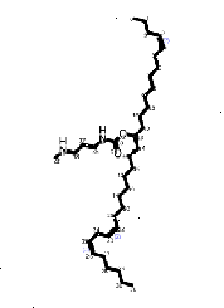 CCC/C=C\CCCCCCCCC(CCCCCCCC/C=C\C/C=C\CCCCC)OC(=O)NCCCNC